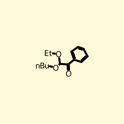 CCCCOC(OCC)C(=O)c1ccccc1